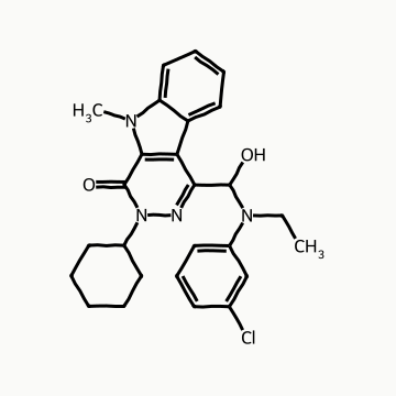 CCN(c1cccc(Cl)c1)C(O)c1nn(C2CCCCC2)c(=O)c2c1c1ccccc1n2C